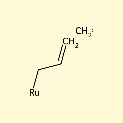 C=C[CH2][Ru].[CH2]